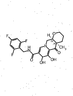 C[C@@]12CCCO[C@@H]1CN1C=C(C(=O)NCc3c(F)cc(F)cc3F)C(O)C(O)=C1C2=O